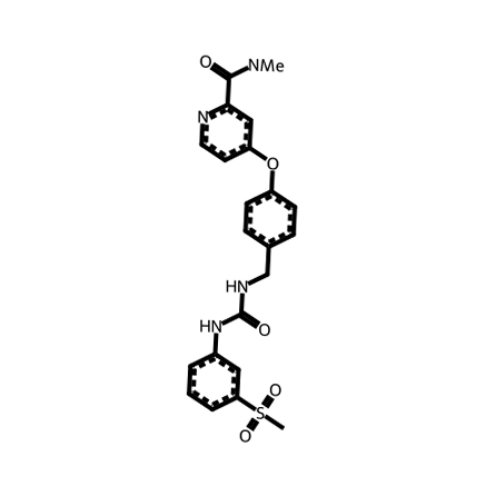 CNC(=O)c1cc(Oc2ccc(CNC(=O)Nc3cccc(S(C)(=O)=O)c3)cc2)ccn1